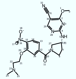 COc1nc(N[C@@H]2CCN(C(=O)c3ccc([N+](=O)[O-])c(OCCN(C)C)c3)C2)ncc1C#N